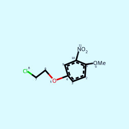 COc1ccc(OCCCl)cc1[N+](=O)[O-]